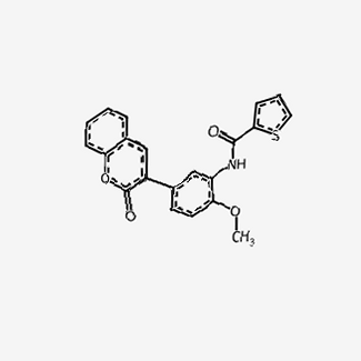 COc1ccc(-c2cc3ccccc3oc2=O)cc1NC(=O)c1cccs1